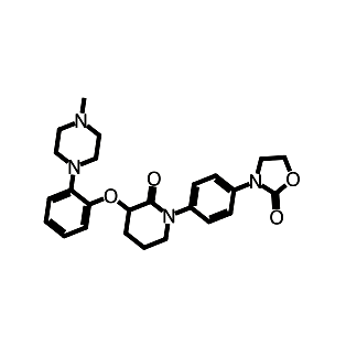 CN1CCN(c2ccccc2OC2CCCN(c3ccc(N4CCOC4=O)cc3)C2=O)CC1